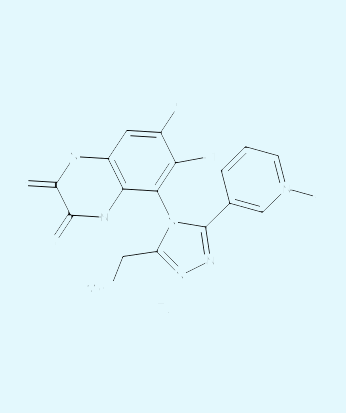 COCc1nnc(-c2ccc[n+]([O-])c2)n1-c1c(Cl)c(Cl)cc2[nH]c(=O)c(=O)[nH]c12.O